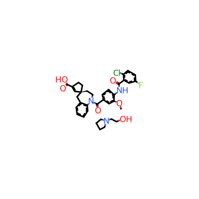 COc1cc(C(=O)N2CC[C@]3(C=C(C(=O)O)CC3)Cc3ccccc32)ccc1NC(=O)c1cc(F)ccc1Cl.OCCN1CCCC1